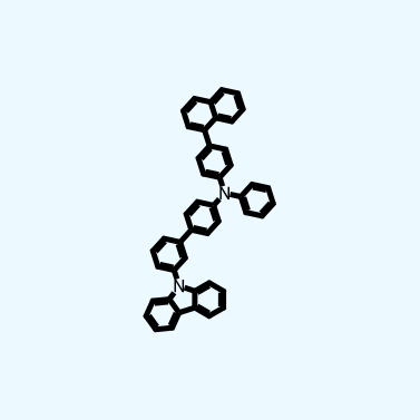 c1ccc(N(c2ccc(-c3cccc(-n4c5ccccc5c5ccccc54)c3)cc2)c2ccc(-c3cccc4ccccc34)cc2)cc1